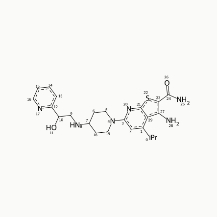 CC(C)c1cc(N2CCC(NCC(O)c3ccccn3)CC2)nc2sc(C(N)=O)c(N)c12